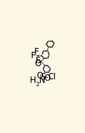 NS(=O)(=O)c1cc(C(=O)c2ccc(-c3ccccc3)cc2C(F)(F)F)ccc1Cl